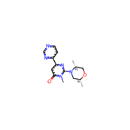 C[C@@H]1CN(c2nc(-c3ccncn3)cc(=O)n2C)[C@H](C)CO1